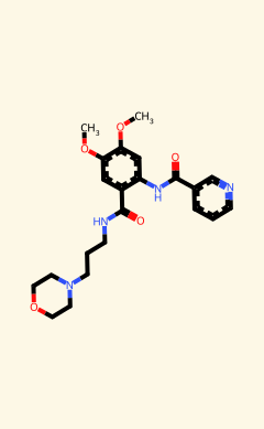 COc1cc(NC(=O)c2cccnc2)c(C(=O)NCCCN2CCOCC2)cc1OC